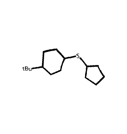 CC(C)(C)C1CCC(SC2CCCC2)CC1